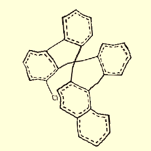 Clc1cccc2c1C1(c3ccccc3-2)c2ccccc2-c2c1ccc1ccccc21